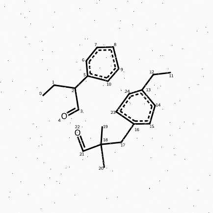 CCC(C=O)c1ccccc1.CCc1ccc(CC(C)(C)C=O)cc1